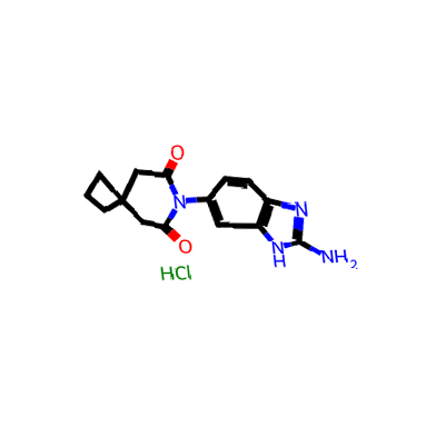 Cl.Nc1nc2ccc(N3C(=O)CC4(CCC4)CC3=O)cc2[nH]1